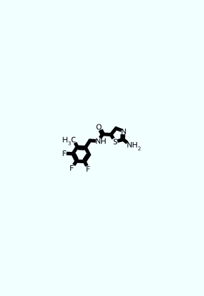 Cc1c(CNC(=O)C2CN=C(N)S2)cc(F)c(F)c1F